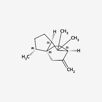 C=C1C[C@@]23CC[C@@H]1C(C)(C)[C@@H]2CC[C@H]3C